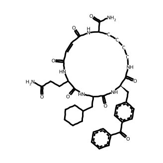 NC(=O)CCC1NC(=O)C=CC(=O)NC(C(N)=O)CCCCNC(=O)[C@@H](Cc2ccc(C(=O)c3ccccc3)cc2)NC(=O)C(CC2CCCCC2)NC1=O